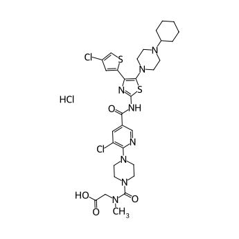 CN(CC(=O)O)C(=O)N1CCN(c2ncc(C(=O)Nc3nc(-c4cc(Cl)cs4)c(N4CCN(C5CCCCC5)CC4)s3)cc2Cl)CC1.Cl